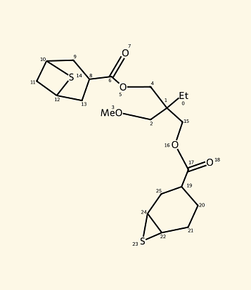 CCC(COC)(COC(=O)C1CC2CC(C1)S2)COC(=O)C1CCC2SC2C1